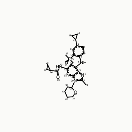 Cc1nc2c(Nc3ccc(C4CC4)cc3P(C)(C)=O)cc(NC(=O)C3CC3)nc2n1C1CCCCO1